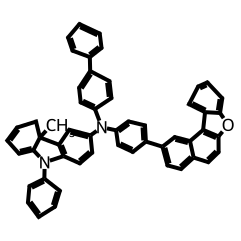 CC12CC=CC=C1N(c1ccccc1)c1ccc(N(c3ccc(-c4ccccc4)cc3)c3ccc(-c4ccc5ccc6oc7ccccc7c6c5c4)cc3)cc12